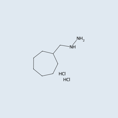 Cl.Cl.NNCC1CCCCCC1